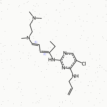 C=CCNc1nc(N/C(=C/C=C/N(C)CCN(C)C)CC)ncc1Cl